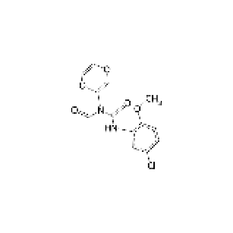 COc1ccc(Cl)cc1NC(=O)N(C=O)C1=COC=CO1